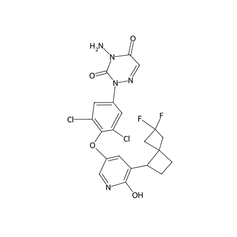 Nn1c(=O)cnn(-c2cc(Cl)c(Oc3cnc(O)c(C4CCC45CC(F)(F)C5)c3)c(Cl)c2)c1=O